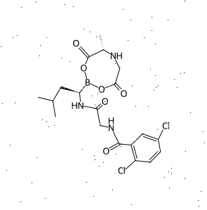 CC(C)C[C@H](NC(=O)CNC(=O)c1cc(Cl)ccc1Cl)B1OC(=O)CN[C@@H](C)C(=O)O1